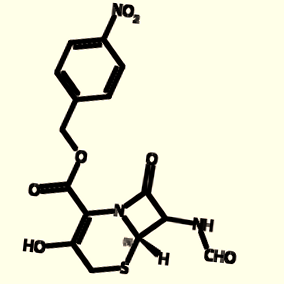 O=CNC1C(=O)N2C(C(=O)OCc3ccc([N+](=O)[O-])cc3)=C(O)CS[C@@H]12